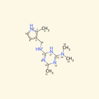 Cc1[nH]ccc1CNC1=NC(C)N=C(N(C)C)N1